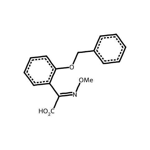 CO/N=C(/C(=O)O)c1ccccc1OCc1ccccc1